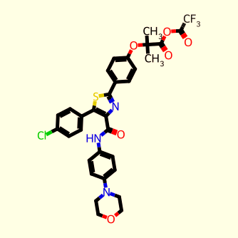 CC(C)(Oc1ccc(-c2nc(C(=O)Nc3ccc(N4CCOCC4)cc3)c(-c3ccc(Cl)cc3)s2)cc1)C(=O)OC(=O)C(F)(F)F